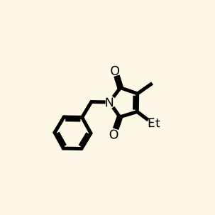 CCC1=C(C)C(=O)N(Cc2ccccc2)C1=O